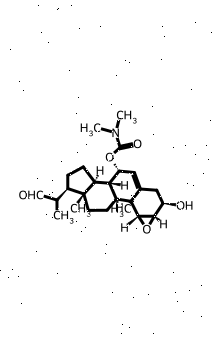 CC(C=O)[C@H]1CC[C@H]2[C@@H]3[C@H](OC(=O)N(C)C)C=C4C[C@@H](O)[C@@H]5O[C@@H]5[C@]4(C)[C@H]3CC[C@]12C